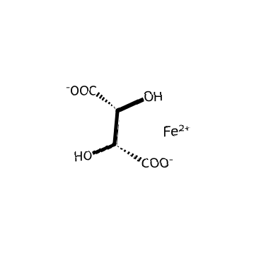 O=C([O-])[C@H](O)[C@@H](O)C(=O)[O-].[Fe+2]